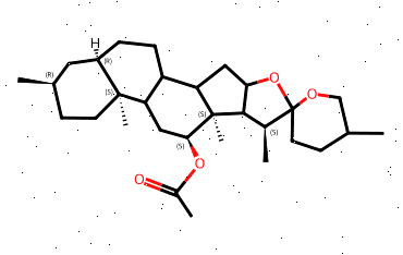 CC(=O)O[C@H]1CC2C(CC[C@@H]3C[C@H](C)CC[C@]23C)C2CC3OC4(CCC(C)CO4)[C@@H](C)C3[C@]21C